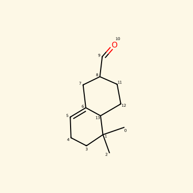 CC1(C)CCC=C2CC(C=O)CCC21